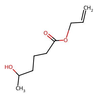 C=CCOC(=O)CCCC(C)O